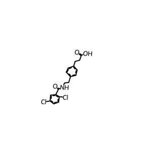 O=C(O)CCc1ccc(CCNC(=O)c2cc(Cl)ccc2Cl)cc1